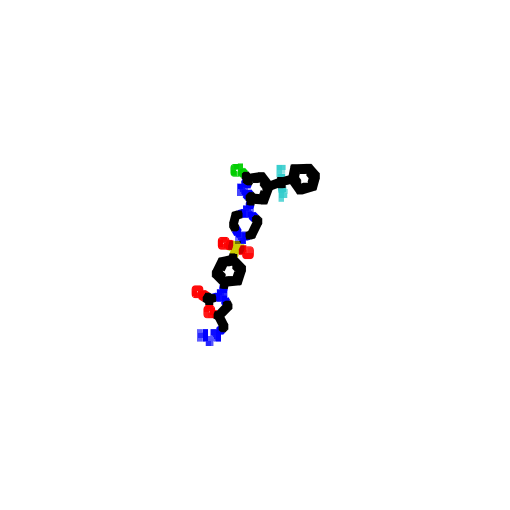 NCC1CN(c2ccc(S(=O)(=O)N3CCN(c4cc(C(F)(F)c5ccccc5)cc(Cl)n4)CC3)cc2)C(=O)O1